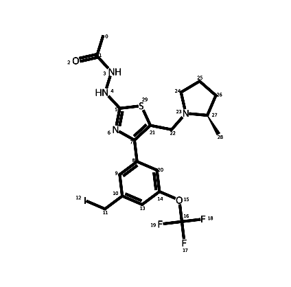 CC(=O)NNc1nc(-c2cc(CI)cc(OC(F)(F)F)c2)c(CN2CCC[C@H]2C)s1